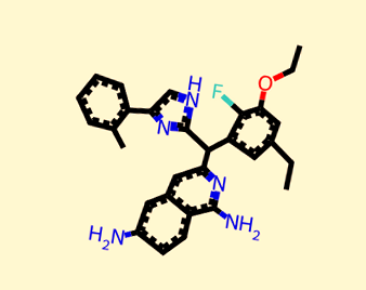 CCOc1cc(CC)cc(C(c2cc3cc(N)ccc3c(N)n2)c2nc(-c3ccccc3C)c[nH]2)c1F